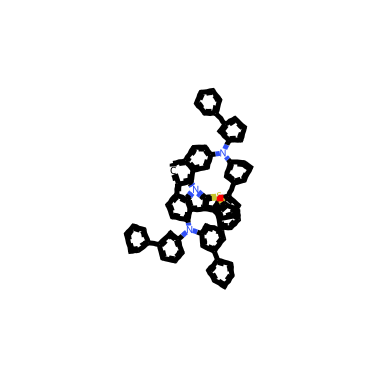 c1ccc(-c2cccc(N(c3cccc(-c4ccccc4)c3)c3ccc4ccc5c6ccc(N(c7cccc(-c8ccccc8)c7)c7cccc(-c8ccccc8)c7)c7c8c9ccccc9sc8n(c5c4c3)c67)c2)cc1